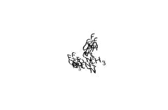 C[N+]1(C(=O)[N+]2(C)C=CN=C2)C=CN=C1.O=S(=O)(O)C(F)(F)F.O=S(=O)(O)C(F)(F)F